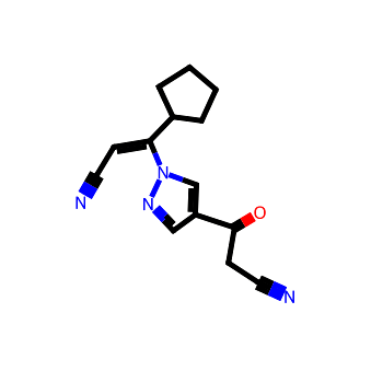 N#CC=C(C1CCCC1)n1cc(C(=O)CC#N)cn1